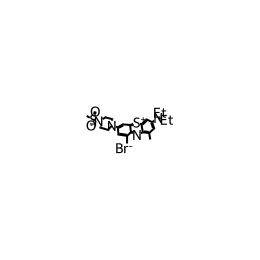 CCN(CC)c1cc(C)c2nc3c(C)cc(N4CCN(S(C)(=O)=O)CC4)cc3[s+]c2c1.[Br-]